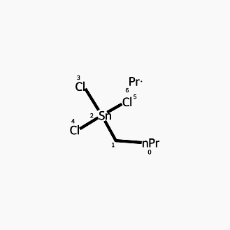 CCC[CH2][Sn]([Cl])([Cl])[Cl].[Pr]